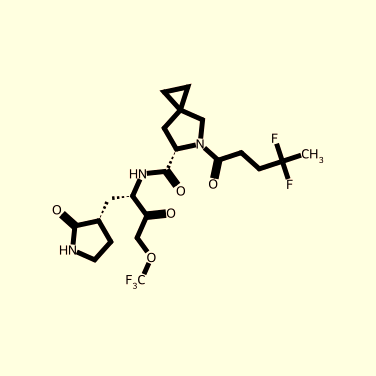 CC(F)(F)CCC(=O)N1CC2(CC2)C[C@H]1C(=O)N[C@@H](C[C@@H]1CCNC1=O)C(=O)COC(F)(F)F